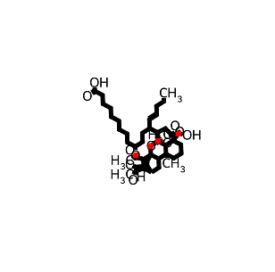 CCC/C=C/C(CCC(CCCCCCCCC(=O)O)OC1[C@@H](C(C)C)C2CC3C4(C)CCCC(C)(C(=O)O)C4CCC13C1C(=O)OC(=O)C21)C1CC(=O)OC1=O